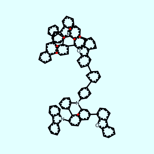 c1cc(-c2ccc(N(c3cccc(-c4cccc5c4oc4ccccc45)c3)c3ccccc3-c3ccccc3-n3c4ccccc4c4ccccc43)cc2)cc(-c2ccc3oc4c(-c5cccc(N(c6ccccc6-c6ccc7ccccc7c6)c6ccccc6-c6ccccc6-n6c7ccccc7c7ccccc76)c5)cccc4c3c2)c1